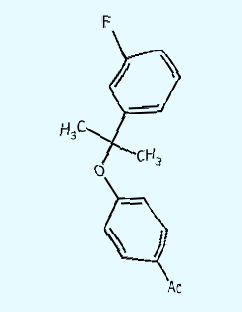 CC(=O)c1ccc(OC(C)(C)c2cccc(F)c2)cc1